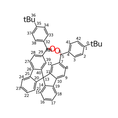 CC(C)(C)c1ccc(C(=O)c2ccc3c(c2)C2(c4ccccc4-3)c3ccccc3-c3ccc(C(=O)c4ccc(C(C)(C)C)cc4)cc32)cc1